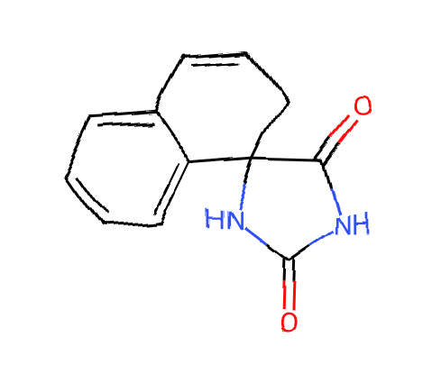 O=C1NC(=O)C2(CC=Cc3ccccc32)N1